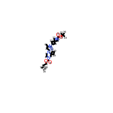 Cc1cc(N2CCN(C(=O)OCC[Si](C)(C)C)CC23CCC3)nn1C1CC2(C1)CN(C(=O)OC(C)(C)C)C2